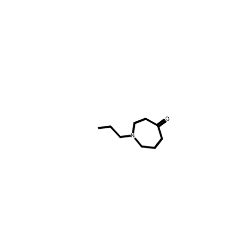 CCCN1CCCC(=O)CC1